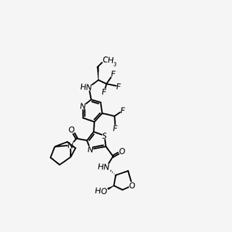 CC[C@H](Nc1cc(C(F)F)c(-c2sc(C(=O)N[C@@H]3COC[C@H]3O)nc2C(=O)N2C3CCC2CC3)cn1)C(F)(F)F